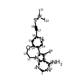 Nc1ncnc2c1c(I)c1n2CCOc2cc(C#CSP(I)I)ncc2-1